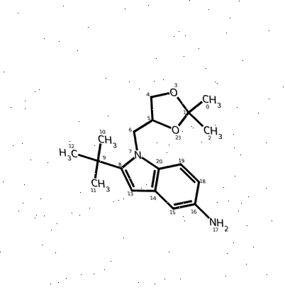 CC1(C)OCC(Cn2c(C(C)(C)C)cc3cc(N)ccc32)O1